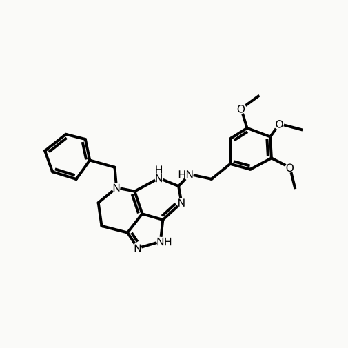 COc1cc(CNC2N=c3[nH]nc4c3=C(N2)N(Cc2ccccc2)CC4)cc(OC)c1OC